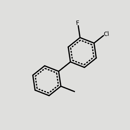 Cc1ccccc1-c1ccc(Cl)c(F)c1